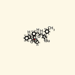 Cc1ccc(-n2nc(C(C)(C)C)cc2NC(=O)Nc2cccc(CC3CC4CCC(C3)N4C(=O)C(=O)c3c[nH]c4ccccc34)c2)cc1